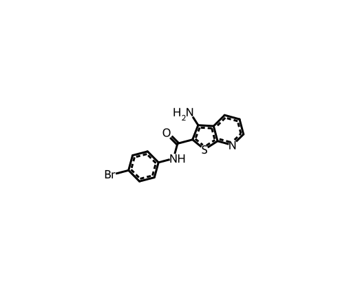 Nc1c(C(=O)Nc2ccc(Br)cc2)sc2ncccc12